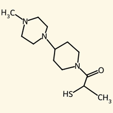 CC(S)C(=O)N1CCC(N2CCN(C)CC2)CC1